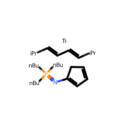 CC(C)C=CC=CC(C)C.CCCCP(CCCC)(CCCC)=NC1=CC=CC1.[Ti]